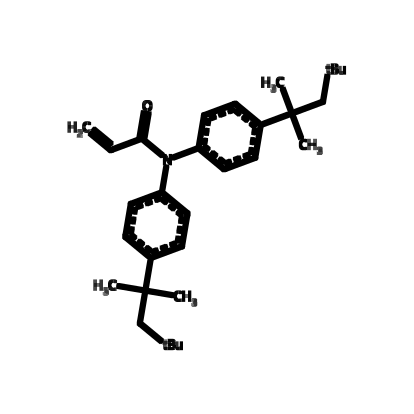 C=CC(=O)N(c1ccc(C(C)(C)CC(C)(C)C)cc1)c1ccc(C(C)(C)CC(C)(C)C)cc1